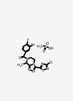 CS(=O)(=O)O.[2H]c1cc(C(=O)N2CCn3c(-c4nc(Cl)ns4)nnc3C2C)ccc1F